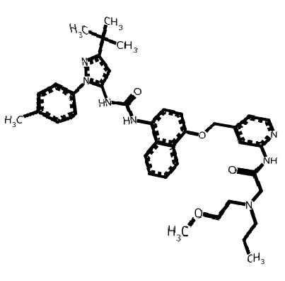 CCCN(CCOC)CC(=O)Nc1cc(COc2ccc(NC(=O)Nc3cc(C(C)(C)C)nn3-c3ccc(C)cc3)c3ccccc23)ccn1